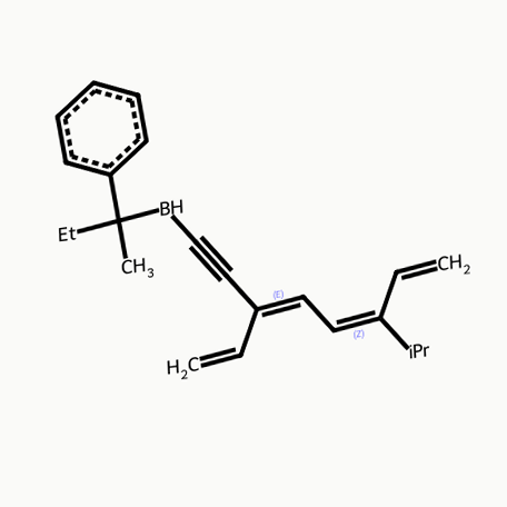 C=C/C(=C\C=C(\C#CBC(C)(CC)c1ccccc1)C=C)C(C)C